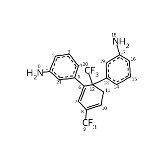 Nc1cccc(C2=CC(C(F)(F)F)=CCC2(c2cccc(N)c2)C(F)(F)F)c1